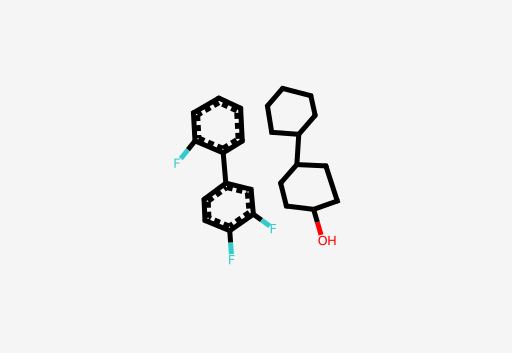 Fc1ccc(-c2ccccc2F)cc1F.OC1CCC(C2CCCCC2)CC1